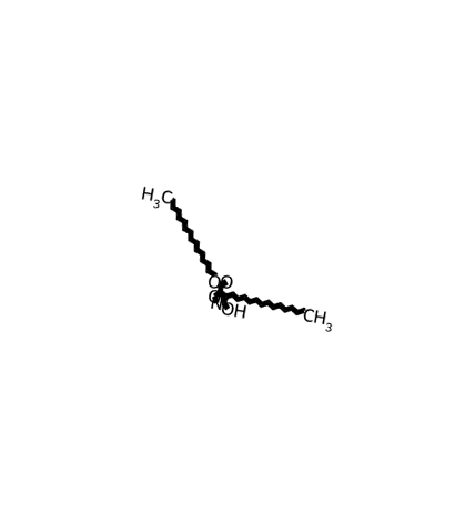 CCCCCCCCCCCCCCCCOC(=O)c1onc(O)c1CCCCCCCCCCCCCC